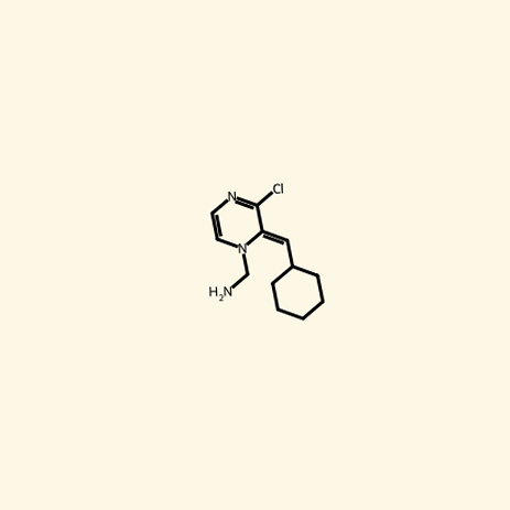 NCN1C=CN=C(Cl)/C1=C/C1CCCCC1